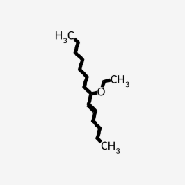 CCCCC=CC(CCCCCCC)OCC